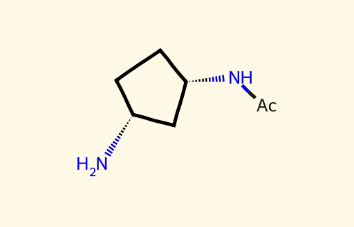 CC(=O)N[C@H]1CC[C@@H](N)C1